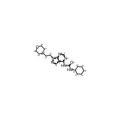 O=C(Nc1ncnc2c1cnn2CCN1CCOCC1)NC1CCCCC1